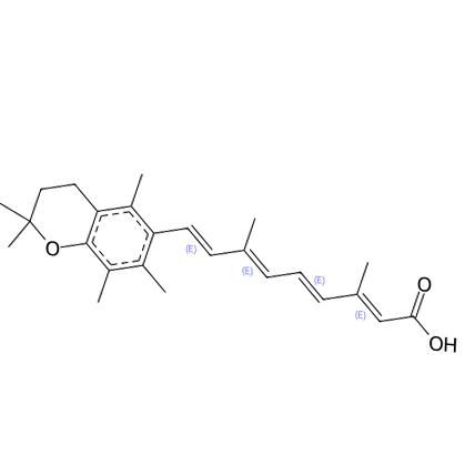 CC(/C=C/c1c(C)c(C)c2c(c1C)CCC(C)(C)O2)=C\C=C\C(C)=C\C(=O)O